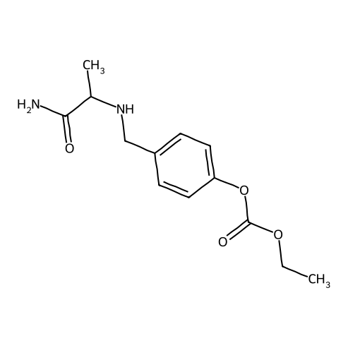 CCOC(=O)Oc1ccc(CNC(C)C(N)=O)cc1